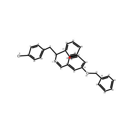 Clc1ccc(CC(/N=C\c2cccc(OCc3ccccc3)c2)c2ccccc2)cc1